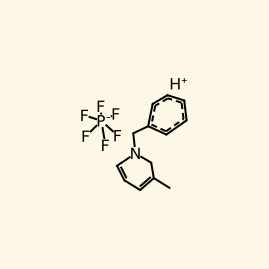 CC1=CC=CN(Cc2ccccc2)C1.F[P-](F)(F)(F)(F)F.[H+]